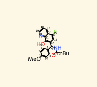 CCCCC(=O)NC(c1ccc(OC)cc1)c1cc(F)c2cccnc2c1O